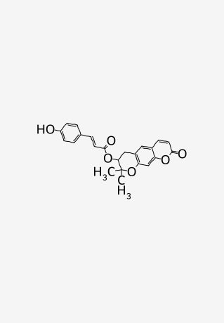 CC1(C)Oc2cc3oc(=O)ccc3cc2CC1OC(=O)C=Cc1ccc(O)cc1